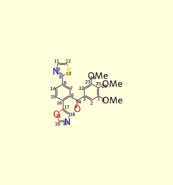 COc1cc(C(=O)c2cc(-c3nccs3)ccc2-c2cnco2)cc(OC)c1OC